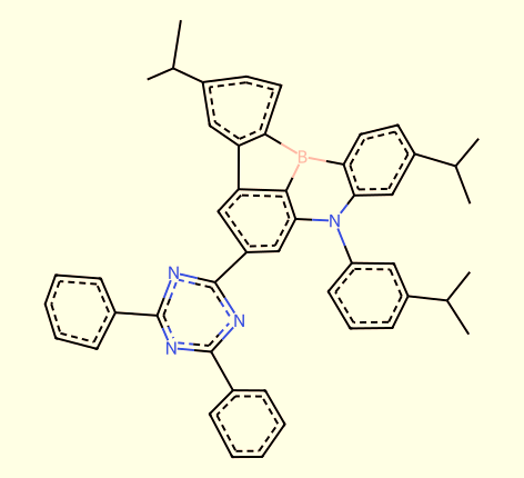 CC(C)c1cccc(N2c3cc(C(C)C)ccc3B3c4ccc(C(C)C)cc4-c4cc(-c5nc(-c6ccccc6)nc(-c6ccccc6)n5)cc2c43)c1